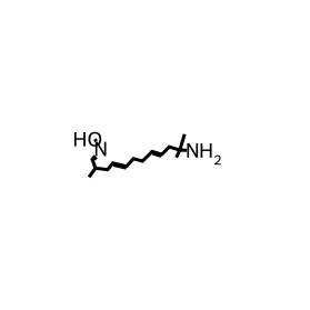 CC(C=NO)CC=CCCC=CCC(C)(C)N